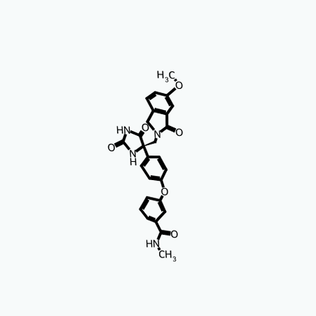 CNC(=O)c1cccc(Oc2ccc([C@]3(CN4Cc5ccc(OC)cc5C4=O)NC(=O)NC3=O)cc2)c1